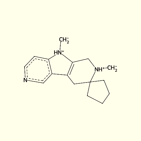 [CH2-][NH+]1C2=C(CC3(CCCC3)[NH+]([CH2-])C2)c2cnccc21